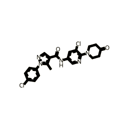 Cc1c(C(=O)Nc2cnc(N3CCC(=O)CC3)c(Cl)c2)cnn1-c1ccc(Cl)cc1